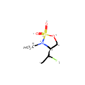 CC(F)[C@@H]1COS(=O)(=O)N1C(=O)O